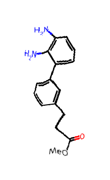 COC(=O)CCc1cccc(-c2cccc(N)c2N)c1